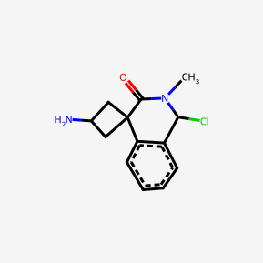 CN1C(=O)C2(CC(N)C2)c2ccccc2C1Cl